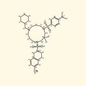 CN(C)c1ccc(S(=O)(=O)N2CCCN(CC3CCCCC3)CCCN(S(=O)(=O)N3CCc4cc(C#N)ccc4C3)CC(C)(C)C2)cc1